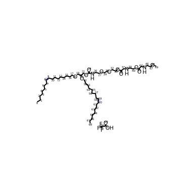 CCCCCCCC/C=C\CCCCCCCCOCC(COC(=O)NCCOCCOCCOC(=O)CNCCOC(=O)CNCCOC)OCCCCCCCC/C=C\CCCCCCCC.O=C(O)C(F)(F)F